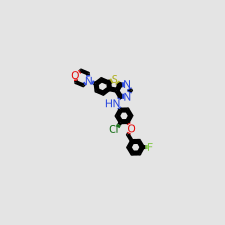 Fc1cccc(COc2ccc(Nc3ncnc4sc5cc(N6CCOCC6)ccc5c34)cc2Cl)c1